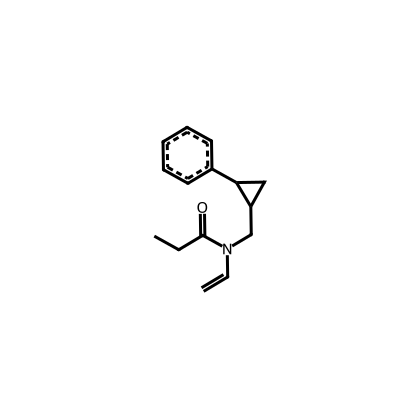 C=CN(CC1CC1c1ccccc1)C(=O)CC